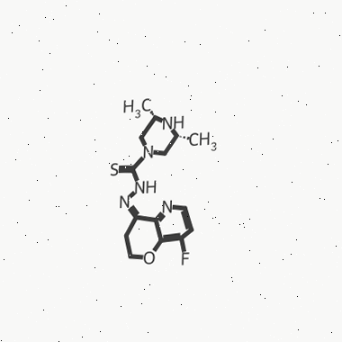 C[C@@H]1CN(C(=S)N/N=C2/CCOc3c(F)ccnc32)C[C@H](C)N1